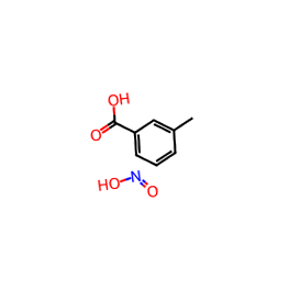 Cc1cccc(C(=O)O)c1.O=NO